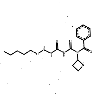 CCCCCONNC(=S)NC(=O)N(C(=O)c1ccccc1)C1CCC1